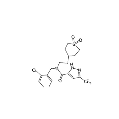 C/C=C(CN(CCC1CCS(=O)(=O)CC1)C(=O)c1cc(C(F)(F)F)n[nH]1)\C(Cl)=C/C